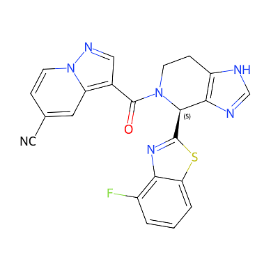 N#Cc1ccn2ncc(C(=O)N3CCc4[nH]cnc4[C@H]3c3nc4c(F)cccc4s3)c2c1